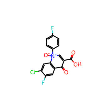 O=C(O)C1=C[N+]([O-])(c2ccc(F)cc2)c2cc(Cl)c(F)cc2C1=O